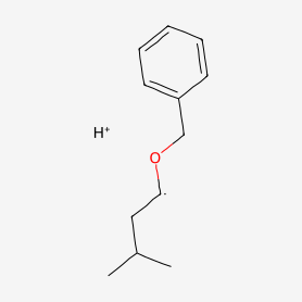 CC(C)C[CH]OCc1ccccc1.[H+]